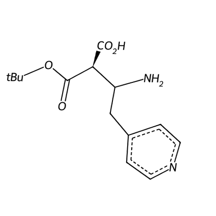 CC(C)(C)OC(=O)[C@@H](C(=O)O)C(N)Cc1ccncc1